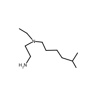 CCN(CCN)CCCCC(C)C